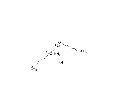 CCCCCCCCCCCC(=O)OC(=O)CC[C@H](N)C(=O)OC(=O)CCCCCCCCCCC.[KH]